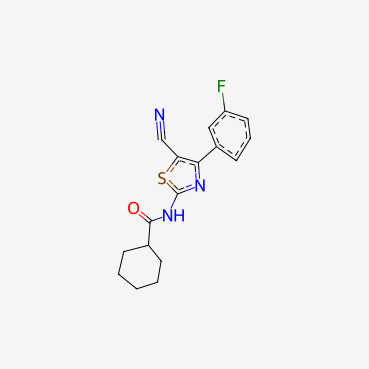 N#Cc1sc(NC(=O)C2CCCCC2)nc1-c1cccc(F)c1